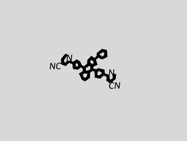 N#Cc1ccnc(-c2ccc(-c3c4ccccc4c(-c4ccc(-c5cc(C#N)ccn5)cc4)c4cc(-c5ccccc5)ccc34)cc2)c1